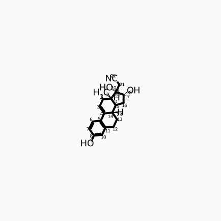 C[C@]12CC=C3c4ccc(O)cc4CC[C@H]3[C@@H]1C[C@@H](O)[C@]2(O)CC#N